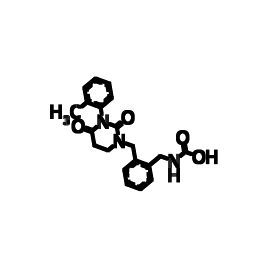 Cc1ccccc1N1C(=O)CCN(Cc2ccccc2CNC(=O)O)C1=O